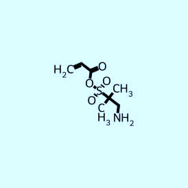 C=CC(=O)OS(=O)(=O)C(C)(C)CN